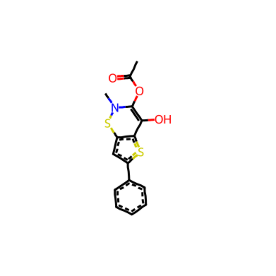 CC(=O)OC1=C(O)c2sc(-c3ccccc3)cc2SN1C